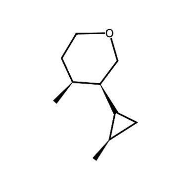 C[C@@H]1CC1[C@@H]1COCC[C@@H]1C